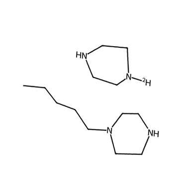 CCCCCN1CCNCC1.[2H]N1CCNCC1